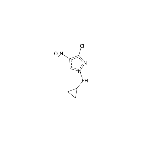 O=[N+]([O-])c1cn(PC2CC2)nc1Cl